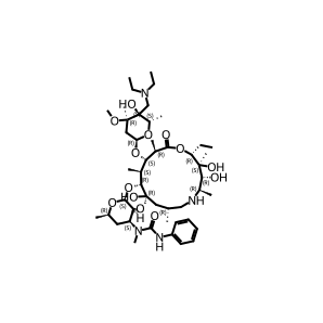 CC[C@H]1OC(=O)[C@H](C)[C@@H](O[C@H]2C[C@@](C)(OC)[C@](O)(CN(CC)CC)[C@H](C)O2)[C@H](C)[C@@H](O[C@@H]2O[C@H](C)C[C@H](N(C)C(=O)Nc3ccccc3)[C@H]2O)[C@](C)(O)C[C@@H](C)CN[C@H](C)[C@@H](O)[C@]1(C)O